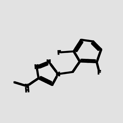 CNc1cn(Cc2c(F)cccc2F)nn1